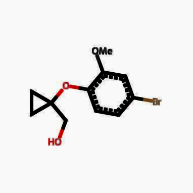 COc1cc(Br)ccc1OC1(CO)CC1